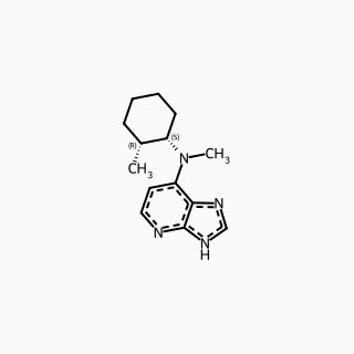 C[C@@H]1CCCC[C@@H]1N(C)c1ccnc2[nH]cnc12